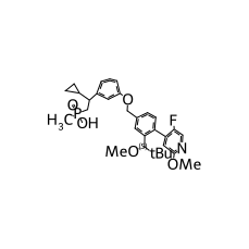 COc1cc(-c2ccc(COc3cccc(C(CP(C)(=O)O)C4CC4)c3)cc2[C@@H](OC)C(C)(C)C)c(F)cn1